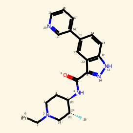 CC(C)CN1CC[C@@H](NC(=O)c2n[nH]c3ccc(-c4cccnc4)cc23)[C@H](F)C1